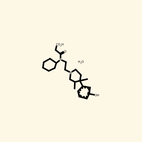 CC1CN(CCN(C(=O)CC(=O)O)C2CCCCC2)CCC1(C)c1cccc(O)c1.O